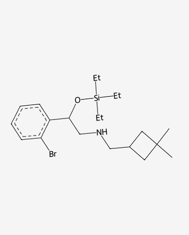 CC[Si](CC)(CC)OC(CNCC1CC(C)(C)C1)c1ccccc1Br